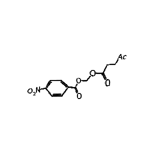 CC(=O)CCC(=O)OCOC(=O)c1ccc([N+](=O)[O-])cc1